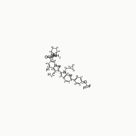 Cc1c(-c2cc3ccc(-c4ccc(OC(F)F)cc4)nc3n2CC2CC2)nn2cc(C(=O)N3CC4CCC3[C@@H]4N)cc(F)c12